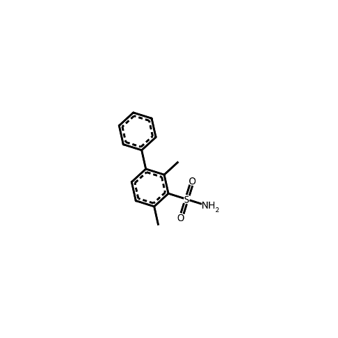 Cc1ccc(-c2ccccc2)c(C)c1S(N)(=O)=O